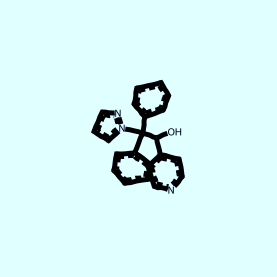 OC(c1ccncc1)C(c1ccccc1)(c1ccccc1)n1cccn1